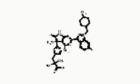 CC1CCC(Cn2nc(-c3nc(N)c4c(n3)NC(=O)[C@@]4(C)c3nc(CC(C)(C)C(=O)O)cs3)c3ccc(F)cc32)CC1